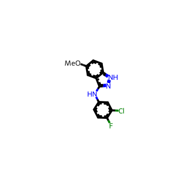 COc1ccc2[nH]nc(Nc3ccc(F)c(Cl)c3)c2c1